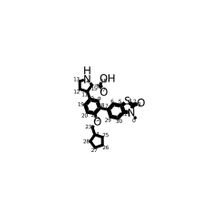 Cn1c(=O)sc2cc(-c3cc(C4CCN[C@@H]4C(=O)O)ccc3OCC3CCCC3)ccc21